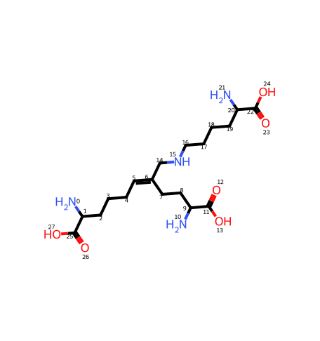 NC(CCC/C=C(\CCC(N)C(=O)O)CNCCCCC(N)C(=O)O)C(=O)O